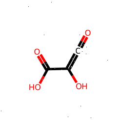 O=C=C(O)C(=O)O